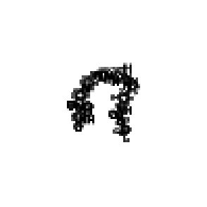 Cc1cc(-c2ccnc(Nc3ccc(N4CCN(CC5CCN(c6ccc7c(c6)C(=O)N(C6CCC(=O)NC6=O)C7=O)CC5)CC4)nc3)n2)ccc1CNC(=O)N1CC(OC(C)C)C1